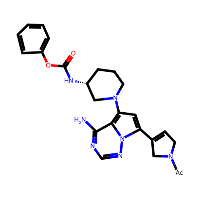 CC(=O)N1CC=C(c2cc(N3CCC[C@@H](NC(=O)Oc4ccccc4)C3)c3c(N)ncnn23)C1